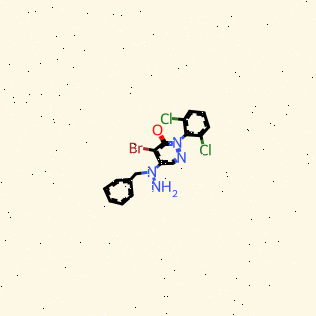 NN(Cc1ccccc1)c1cnn(-c2c(Cl)cccc2Cl)c(=O)c1Br